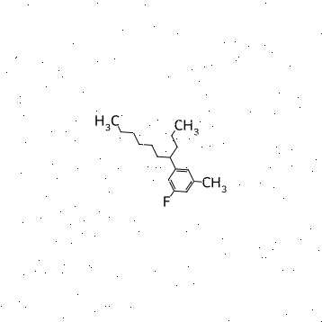 CCCCCCC(CCC)c1cc(C)cc(F)c1